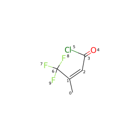 CC(=CC(=O)Cl)C(F)(F)F